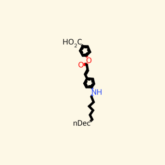 CCCCCCCCCCCCCCCCNc1ccc(/C=C/C(=O)Oc2ccc(C(=O)O)cc2)cc1